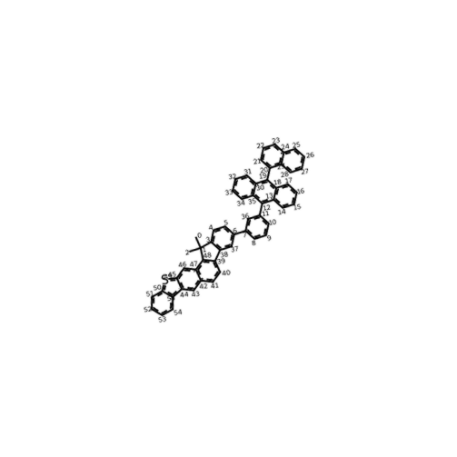 CC1(C)c2ccc(-c3cccc(-c4c5ccccc5c(-c5cccc6ccccc56)c5ccccc45)c3)cc2-c2ccc3cc4c(cc3c21)sc1ccccc14